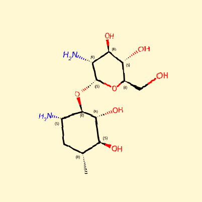 C[C@@H]1C[C@H](N)[C@@H](O[C@H]2O[C@H](CO)[C@@H](O)[C@H](O)[C@H]2N)[C@H](O)[C@H]1O